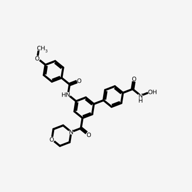 COc1ccc(C(=O)Nc2cc(C(=O)N3CCOCC3)cc(-c3ccc(C(=O)NO)cc3)c2)cc1